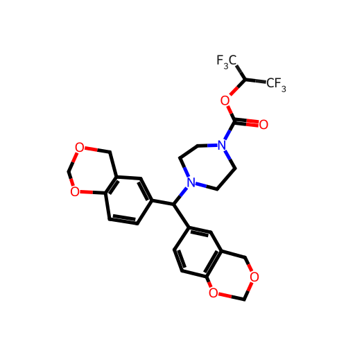 O=C(OC(C(F)(F)F)C(F)(F)F)N1CCN(C(c2ccc3c(c2)COCO3)c2ccc3c(c2)COCO3)CC1